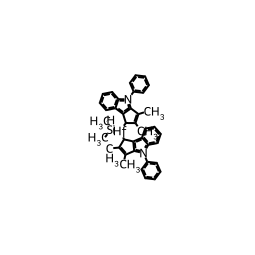 CC1=C(C)[CH]([Hf]([CH]2C(C)=C(C)c3c2c2ccccc2n3-c2ccccc2)[SiH](C)C)c2c1n(-c1ccccc1)c1ccccc21